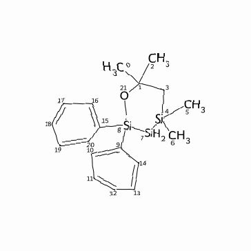 CC1(C)C[Si](C)(C)[SiH2][Si](c2ccccc2)(c2ccccc2)O1